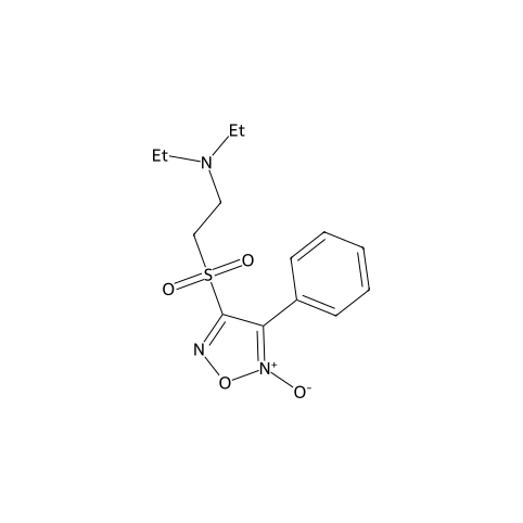 CCN(CC)CCS(=O)(=O)c1no[n+]([O-])c1-c1ccccc1